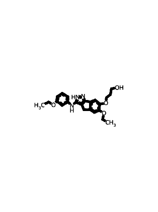 CCOc1cccc(Nc2[nH]nc3c2Cc2cc(OCC)c(OCCCO)cc2-3)c1